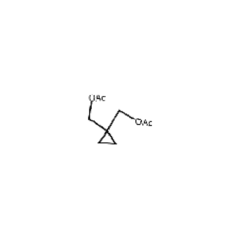 CC(=O)OCC1(COC(C)=O)CC1